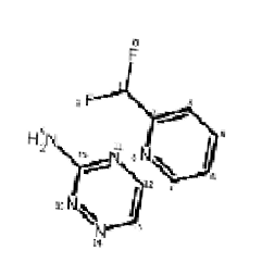 FC(F)c1ccccn1.Nc1nccnn1